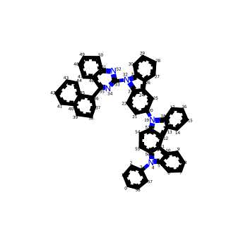 c1ccc(-n2c3ccccc3c3c4c5ccccc5n(-c5ccc6c(c5)c5ccccc5n6-c5nc(-c6cccc7ccccc67)c6ccccc6n5)c4ccc32)cc1